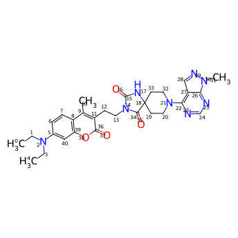 CCN(CC)c1ccc2c(C)c(CCN3C(=O)NC4(CCN(c5ncnc6c5cnn6C)CC4)C3=O)c(=O)oc2c1